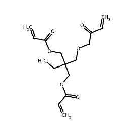 C=CC(=O)COCC(CC)(COC(=O)C=C)COC(=O)C=C